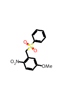 COc1ccc([N+](=O)[O-])c(CS(=O)(=O)c2ccccc2)c1